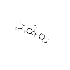 NC(=O)[C@@H](Nc1cc2c3c(c1)nc(-c1ccc4oc(N)nc4c1)n3CCO2)C1CC1